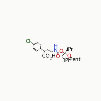 CCCCCO[C@](CC(C)C)(OC(=O)NCCC(C(=O)O)c1ccc(Cl)cc1)C(C)C